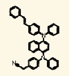 N#CCc1ccc(N(c2ccccc2)c2ccc(N(c3ccccc3)c3ccc(C=Cc4ccccc4)cc3)c3ccccc23)cc1